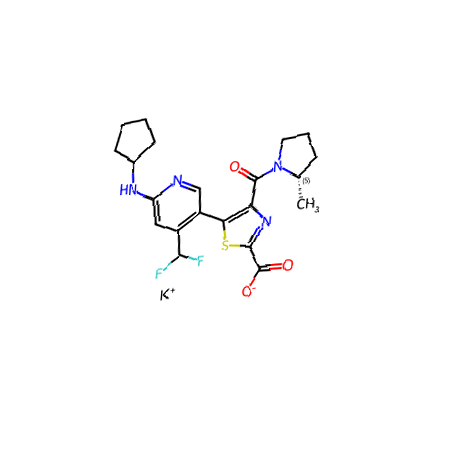 C[C@H]1CCCN1C(=O)c1nc(C(=O)[O-])sc1-c1cnc(NC2CCCC2)cc1C(F)F.[K+]